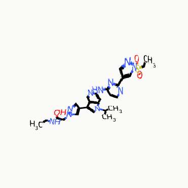 CCNC(O)Cn1cc(-c2cn(C(C)C)c3cc(Nc4ccnc(-c5cnn(S(=O)(=O)CC)c5)n4)ncc23)cn1